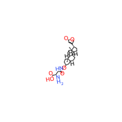 C[C@]12CC[C@H](ONC(=O)C[C@H](N)C(=O)O)C[C@H]1CC[C@@H]1[C@@H]2CC[C@]2(C)[C@@H](C3=CC(=O)OC3)CC[C@@H]12